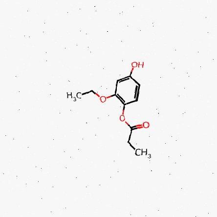 CCOc1cc(O)ccc1OC(=O)CC